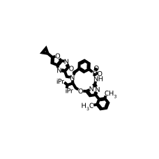 Cc1cccc(C)c1-c1cc2nc(n1)NS(=O)(=O)c1cccc(c1)C(=O)N(Cc1cnc3oc(C4CC4)cc3n1)C(C(C(C)C)C(C)C)CO2